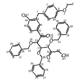 CCOc1ccc(Cc2cc(C(=O)C(OCc3ccccc3)C(OCc3ccccc3)C(OCc3ccccc3)C(=O)CO)ccc2Cl)cc1